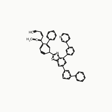 C#C/C=C\C(=C=C)C1=CC#CC(c2nc3c(-c4cccc(-c5cccnc5)c4)cc(-c4cccc(-c5ccccc5)c4)cc3s2)C=C1c1ccccc1